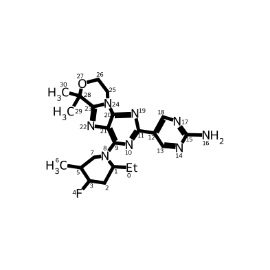 CCC1CC(F)C(C)CN1c1nc(-c2cnc(N)nc2)nc2c1nc1n2CCOC1(C)C